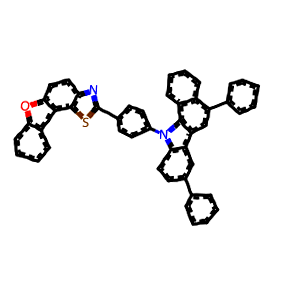 c1ccc(-c2ccc3c(c2)c2cc(-c4ccccc4)c4ccccc4c2n3-c2ccc(-c3nc4ccc5oc6ccccc6c5c4s3)cc2)cc1